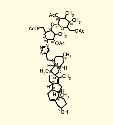 CC(=O)OCC1O[C@@H](O[C@@H]2C(COC(C)=O)O[C@@H](n3cc(CN4C[C@@H](C)C[C@H]5O[C@]6(CC[C@@H]7C(=C6C)C[C@H]6[C@H]7CC=C7C[C@@H](O)CC[C@@]76C)[C@H](C)[C@@H]54)nn3)[C@@H](OC(C)=O)C2C)[C@@H](OC(C)=O)C(C)[C@@H]1C